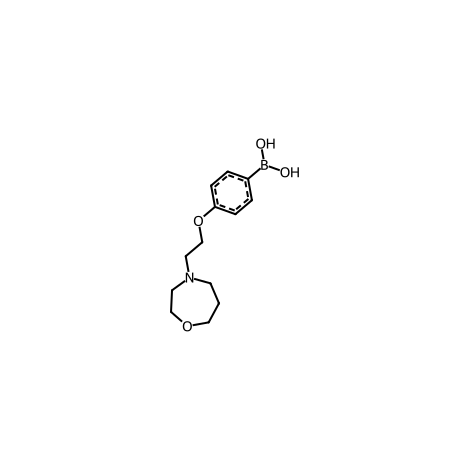 OB(O)c1ccc(OCCN2CCCOCC2)cc1